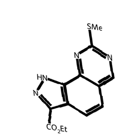 CCOC(=O)c1n[nH]c2c1ccc1cnc(SC)nc12